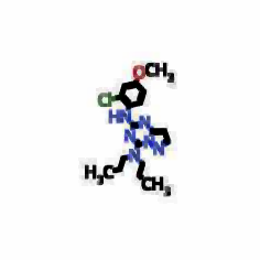 CCCN(CCC)c1nc(Nc2ccc(OC)cc2Cl)nc2ccnn12